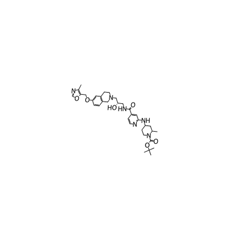 Cc1ncoc1COc1ccc2c(c1)CCN(C[C@@H](O)CNC(=O)c1ccnc(NC3CCN(C(=O)OC(C)(C)C)C(C)C3)c1)C2